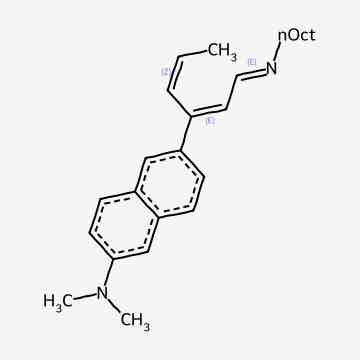 C\C=C/C(=C\C=N\CCCCCCCC)c1ccc2cc(N(C)C)ccc2c1